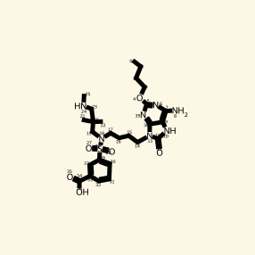 CCCCOc1nc(N)c2[nH]c(=O)n(CCCCN(CC(C)(C)CNC)S(=O)(=O)c3cccc(C(=O)O)c3)c2n1